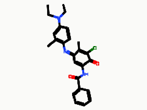 CCN(CC)c1ccc(N=C2C=C(NC(=O)c3ccccc3)C(=O)C(Cl)=C2C)c(C)c1